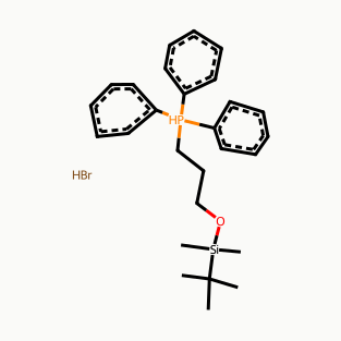 Br.CC(C)(C)[Si](C)(C)OCCC[PH](c1ccccc1)(c1ccccc1)c1ccccc1